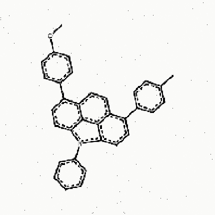 COc1ccc(-c2ccc3c4c2ccc2c(-c5ccc(C)cc5)ccc(c24)n3-c2ccccc2)cc1